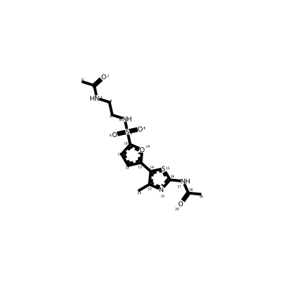 CC(=O)NCCNS(=O)(=O)c1ccc(-c2sc(NC(C)=O)nc2C)o1